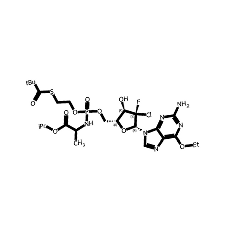 CCOc1nc(N)nc2c1ncn2[C@@H]1O[C@H](COP(=O)(NC(C)C(=O)OC(C)C)OCCSC(=O)C(C)(C)C)[C@@H](O)[C@]1(F)Cl